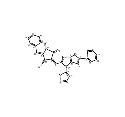 O=C1C(=Cc2nc3sc(-c4ccccc4)nc3n2-c2cccs2)C(=O)c2cc3ccccc3cc21